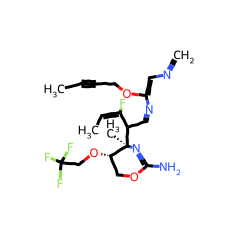 C=N/C=C(\N=C/C(/C(F)=C\C)[C@@]1(C)N=C(N)OC[C@@H]1OCC(F)(F)F)OCC#CC